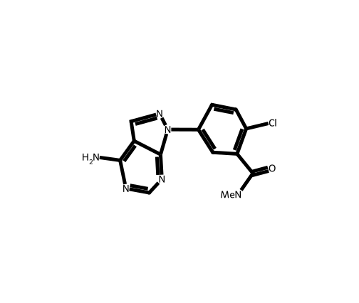 CNC(=O)c1cc(-n2ncc3c(N)ncnc32)ccc1Cl